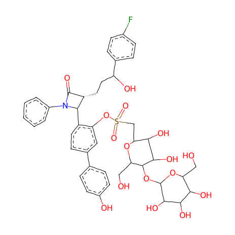 O=C1[C@H](CCC(O)c2ccc(F)cc2)C(c2ccc(-c3ccc(O)cc3)cc2OS(=O)(=O)CC2OC(CO)C(OC3OC(CO)C(O)C(O)C3O)C(O)C2O)N1c1ccccc1